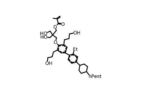 C=C(C)C(=O)OCC(CO)(CO)COc1c(CCCO)cc(-c2ccc(C3CCC(CCCCC)CC3)cc2CC)cc1CCCO